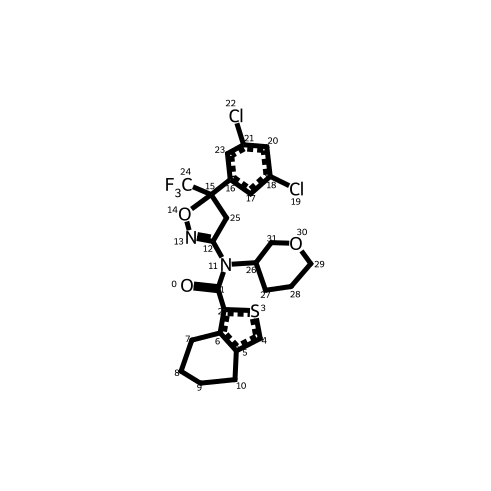 O=C(c1scc2c1CCCC2)N(C1=NOC(c2cc(Cl)cc(Cl)c2)(C(F)(F)F)C1)C1CCCOC1